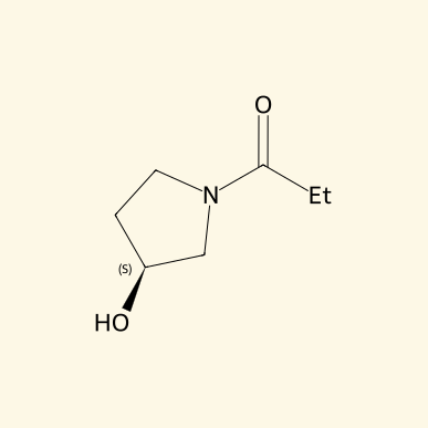 CCC(=O)N1CC[C@H](O)C1